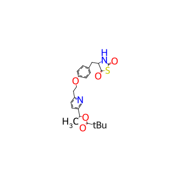 CC(OC(=O)C(C)(C)C)c1ccc(CCOc2ccc(CC3NC(=O)SC3=O)cc2)nc1